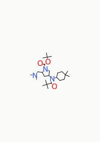 CN(C)CC1CC(N(C(=O)C(C)(C)C)C2CCC(C)(C)CC2)CN1C(=O)OC(C)(C)C